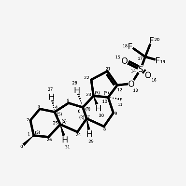 C[C@H]1CC[C@H]2C[C@@H]3[C@H](CC[C@]4(C)C(OS(=O)(=O)C(F)(F)F)=CC[C@@H]34)C[C@@H]2C1